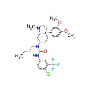 CCCCN(C(=O)Nc1ccc(Cl)c(C(F)(F)F)c1)C1CCC2(c3ccc(OC)c(OC)c3)CCN(C)C2C1